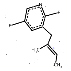 C/C=C(\C)Cc1cc(F)cnc1F